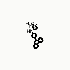 C=C/C=C(\C=C/C)Nc1ccc(-c2cc3ccccc3c3ccccc23)cc1